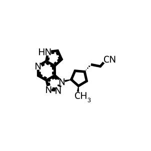 C[C@@H]1C[C@@H](CCC#N)C[C@@H]1n1nnc2cnc3[nH]ccc3c21